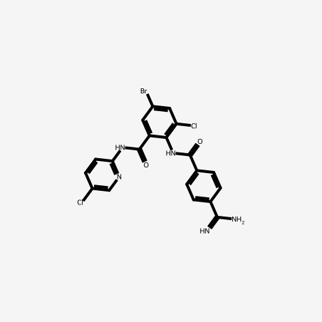 N=C(N)c1ccc(C(=O)Nc2c(Cl)cc(Br)cc2C(=O)Nc2ccc(Cl)cn2)cc1